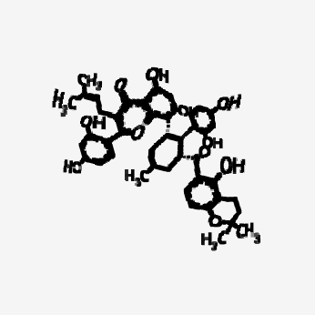 CC(C)=CCc1c(-c2ccc(O)cc2O)oc2c([C@H]3C=C(C)C[C@@H](C(=O)c4ccc5c(c4O)CCC(C)(C)O5)[C@@H]3c3ccc(O)cc3O)c(O)cc(O)c2c1=O